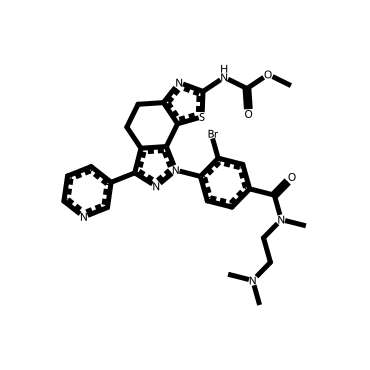 COC(=O)Nc1nc2c(s1)-c1c(c(-c3cccnc3)nn1-c1ccc(C(=O)N(C)CCN(C)C)cc1Br)CC2